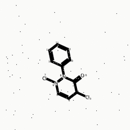 O=C1C(Cl)C=CN(Cl)N1c1ccccc1